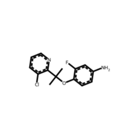 CC(C)(Oc1ccc(N)cc1F)c1ncccc1Cl